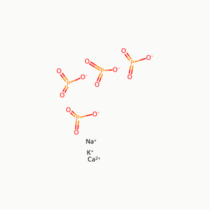 O=P(=O)[O-].O=P(=O)[O-].O=P(=O)[O-].O=P(=O)[O-].[Ca+2].[K+].[Na+]